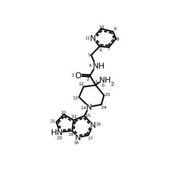 NC1(C(=O)NCc2ccccn2)CCN(c2ncnc3[nH]ccc23)CC1